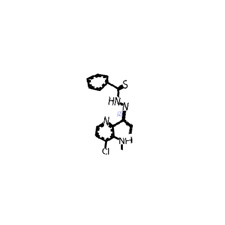 CC/C(=N/NC(=S)c1ccccc1)c1nccc(Cl)c1NC